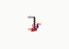 CCCCCCCCCCCCCCCCCC(=O)OC[C@H]1OOC1OP(=O)(O)O.NCCO